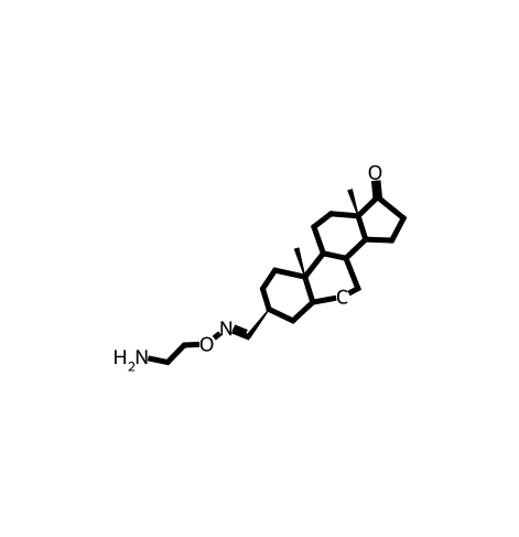 C[C@]12CC[C@H](C=NOCCN)CC1CCC1C2CC[C@]2(C)C(=O)CCC12